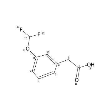 O=C(O)Cc1cccc(OC(F)F)c1